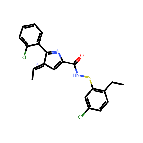 C/C=C1\C=C(C(=O)NSc2cc(Cl)ccc2CC)N=C1c1ccccc1Cl